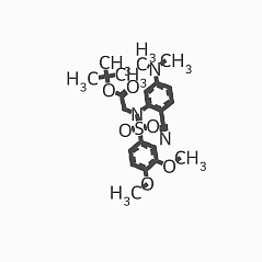 COc1ccc(S(=O)(=O)N(CC(=O)OC(C)(C)C)c2cc(N(C)C)ccc2C#N)cc1OC